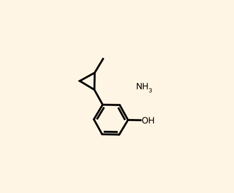 CC1CC1c1cccc(O)c1.N